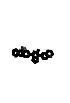 Cc1nc(N2CCC3(CC2)Cc2ncccc2[C@H]3N)c2ccnn2c1-c1ccc2c(c1)CCCO2